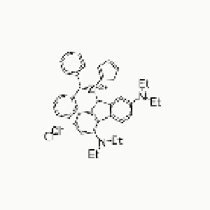 CCN(CC)c1ccc2c(c1)[CH]([Zr+2]([C]1=CC=CC1)=[C](c1ccccc1)c1ccccc1)c1cccc(N(CC)CC)c1-2.[Cl-].[Cl-]